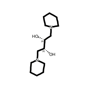 O[C@H](CN1CCCCC1)[C@H](O)CN1CCCCC1